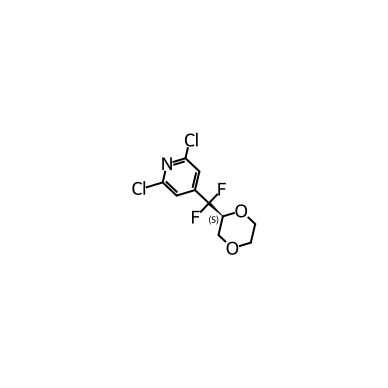 FC(F)(c1cc(Cl)nc(Cl)c1)[C@@H]1COCCO1